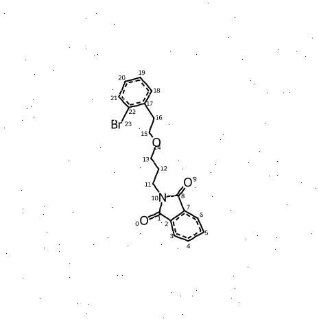 O=C1c2ccccc2C(=O)N1CCCOCCc1ccccc1Br